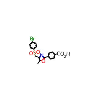 Cc1oc(-c2ccc(C(=O)O)cc2)nc1CS(=O)(=O)c1ccc(Br)cc1